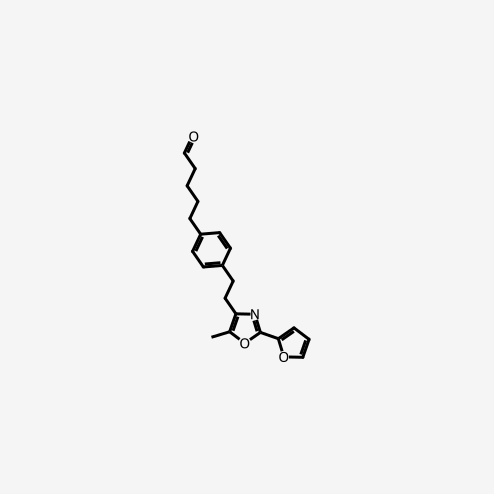 Cc1oc(-c2ccco2)nc1CCc1ccc(CCCCC=O)cc1